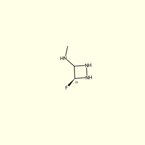 CNC1NN[C@H]1F